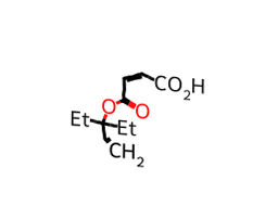 C=CC(CC)(CC)OC(=O)/C=C\C(=O)O